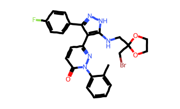 Cc1ccccc1-n1nc(-c2c(-c3ccc(F)cc3)n[nH]c2NCC2(CBr)OCCO2)ccc1=O